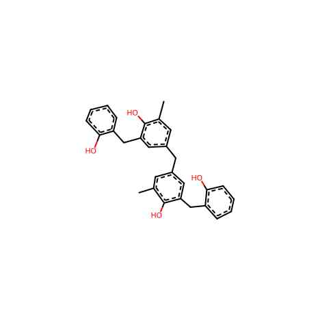 Cc1cc(Cc2cc(C)c(O)c(Cc3ccccc3O)c2)cc(Cc2ccccc2O)c1O